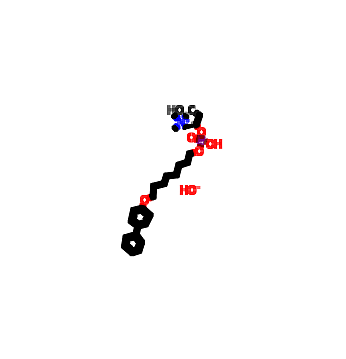 C[N+](C)(C)C[C@@H](CC(=O)O)OP(=O)(O)OCCCCCCCCOc1ccc(-c2ccccc2)cc1.[OH-]